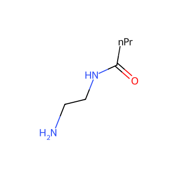 CCCC(=O)NCCN